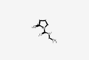 C[CH]OC(=O)N1CCCC1=O